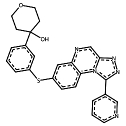 OC1(c2cccc(Sc3ccc4c(c3)ncc3nnc(-c5cccnc5)n34)c2)CCOCC1